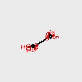 O=C(O)c1ccc(C(=O)OCCCCCCCCCCOC(=O)c2ccc(C(=O)O)cc2C(=O)O)c(C(=O)O)c1